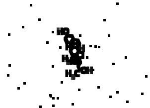 CC(O)CC[C@@]1(O)CC[C@H]2[C@@H]3CCc4cc(O)ccc4[C@H]3CC[C@@]21C